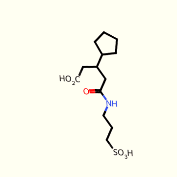 O=C(O)CC(CC(=O)NCCCS(=O)(=O)O)C1CCCC1